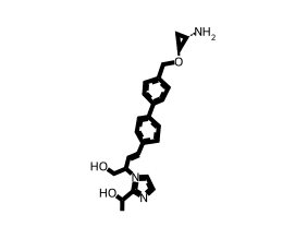 CC(O)c1nccn1C(/C=C/c1ccc(-c2ccc(CO[C@@H]3C[C@@H]3N)cc2)cc1)CO